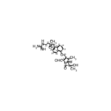 C[C@@H](O)[C@H]1C(=O)N2C(C=O)=C(COc3cccc4c(C[N+](C)(C)CCNC(=N)N)cccc34)[C@H](C)[C@H]12